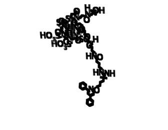 CC(C)(O)CNC(=O)CCN1C(=O)CC(SCC(=O)N[C@@H](CS(=O)(=O)O)C(=O)N[C@@H](CS(=O)(=O)O)C(=O)N[C@@H](CS(=O)(=O)O)C(=O)N[C@@H](CS(=O)(=O)O)C(=O)NCCCOCCOCCOCCCNC(=O)CCCCNC(=N)C(C)(C)CCCCOc2cc(-c3ccccc3)cc(-c3ccccc3)n2)C1=O